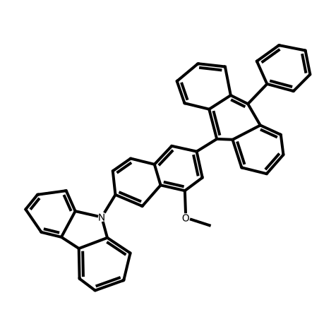 COc1cc(-c2c3ccccc3c(-c3ccccc3)c3ccccc23)cc2ccc(-n3c4ccccc4c4ccccc43)cc12